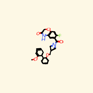 COc1ccccc1-c1ccccc1OCC1CN(C(=O)c2cc3c(cc2F)OCC(=O)N3)C1